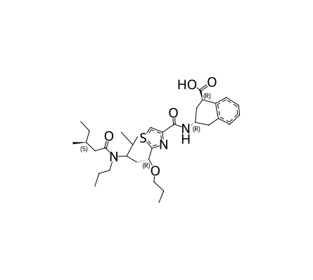 CCCO[C@H](CC(C(C)C)N(CCC)C(=O)C[C@@H](C)CC)c1nc(C(=O)N[C@H]2Cc3ccccc3[C@H](C(=O)O)C2)cs1